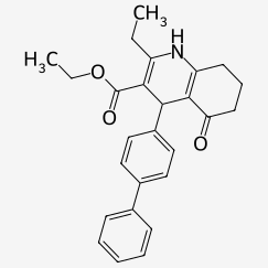 CCOC(=O)C1=C(CC)NC2=C(C(=O)CCC2)C1c1ccc(-c2ccccc2)cc1